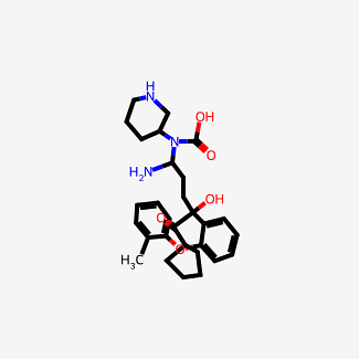 Cc1ccccc1Oc1ccccc1C(O)(CCC(N)N(C(=O)O)C1CCCNC1)C(=O)C1CCCC1